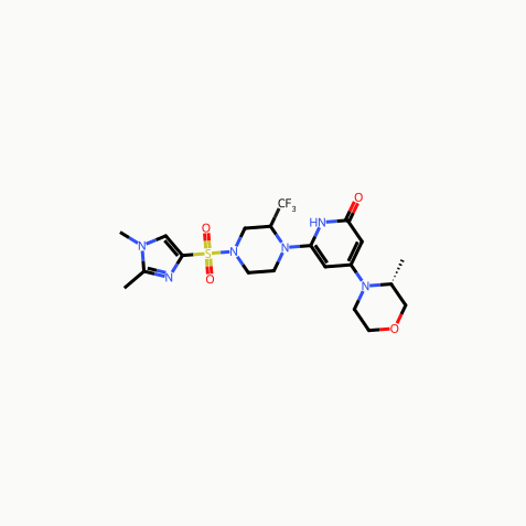 Cc1nc(S(=O)(=O)N2CCN(c3cc(N4CCOC[C@H]4C)cc(=O)[nH]3)C(C(F)(F)F)C2)cn1C